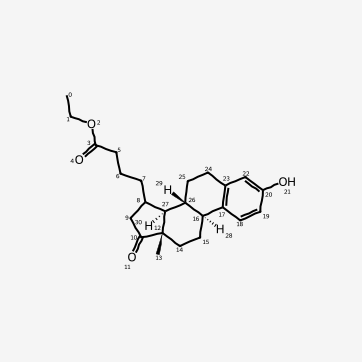 CCOC(=O)CCCC1CC(=O)[C@@]2(C)CC[C@@H]3c4ccc(O)cc4CC[C@H]3[C@H]12